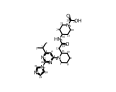 CC(C)c1cc(N2CCCCC2CC(=O)NC2CCN(C(=O)O)CC2)nc(-n2ccnc2)n1